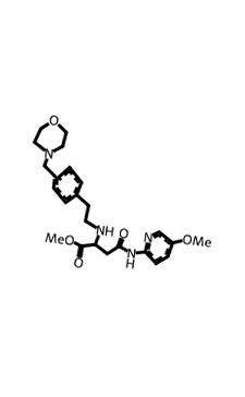 COC(=O)C(CC(=O)Nc1ccc(OC)cn1)NCCc1ccc(CN2CCOCC2)cc1